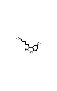 OCCCCCC(O)C1CC(O)CCC1O